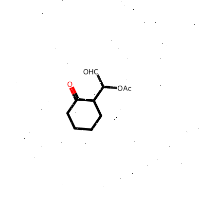 CC(=O)OC(C=O)C1CCCCC1=O